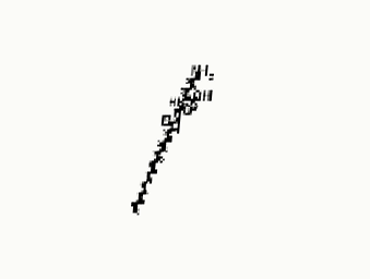 CCCCCCCCCCCCCCCCCC(=O)NCC(=O)N[C@@H](CCCCN)C(=O)O